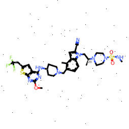 CNS(=O)(=O)N1CCN([C@@H](C)Cn2c(C#N)cc3c(C)c(CN4CCC(Nc5nc(OC)nc6sc(CC(F)(F)F)cc56)CC4)ccc32)CC1